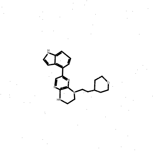 c1cc(-c2cnc3c(n2)N(CCC2CCOCC2)CCN3)c2cc[nH]c2c1